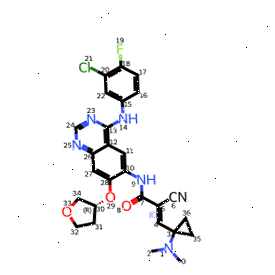 CN(C)C1(/C=C(\C#N)C(=O)Nc2cc3c(Nc4ccc(F)c(Cl)c4)ncnc3cc2O[C@@H]2CCOC2)CC1